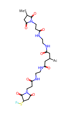 CSC1CC(=O)N(CCC(=O)NCCNC(=O)CC(CC(=O)NCCNC(=O)CCN2C(=O)CC(SF)C2=O)C(C)=O)C1=O